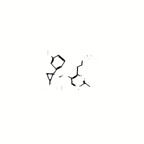 COCCc1nc(C)ncc1OC[C@@]1(c2cccc(F)c2)CC1C(=O)O